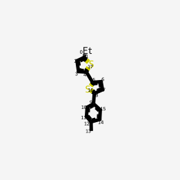 CCc1ccc(-c2ccc(-c3ccc(C)cc3)s2)s1